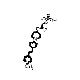 C[n+]1ccc(/C=C/c2ccc(N3CCC(OC(=O)CSS(=O)(=O)O)CC3)cc2)cc1